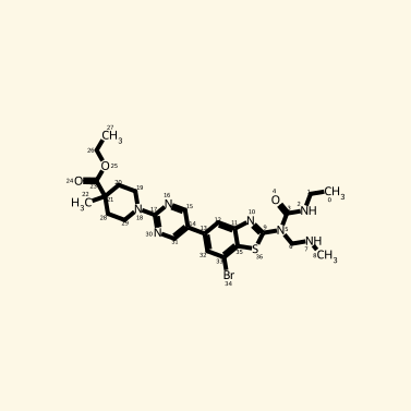 CCNC(=O)N(CNC)c1nc2cc(-c3cnc(N4CCC(C)(C(=O)OCC)CC4)nc3)cc(Br)c2s1